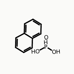 O=[PH](O)O.c1ccc2ccccc2c1